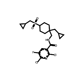 O=C(NCC1(CC2CC2)CCC(S(=O)(=O)CC2CC2)CC1)c1cc(F)c(Cl)nc1Cl